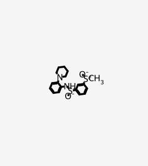 C[S+]([O-])c1cccc([S+]([O-])Nc2ccccc2N2CCCCC2)c1